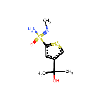 CN=S(N)(=O)c1cc(C(C)(C)O)cs1